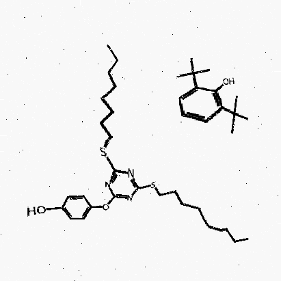 CC(C)(C)c1cccc(C(C)(C)C)c1O.CCCCCCCCSc1nc(Oc2ccc(O)cc2)nc(SCCCCCCCC)n1